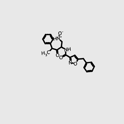 CC1C(=O)C(NC(=O)c2cc(Cc3ccccc3)on2)C[NH+]([O-])c2ccccc21